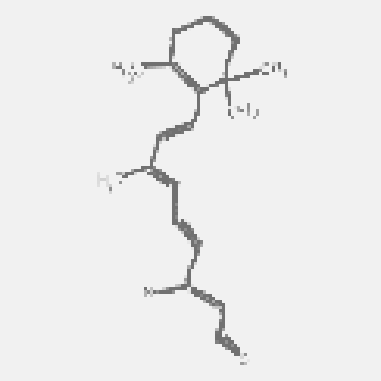 CC(C=CC1=C(C)CCCC1(C)C)=CC=CC(Br)=CC=O